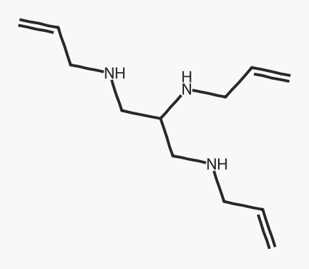 C=CCNCC(CNCC=C)NCC=C